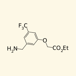 CCOC(=O)COc1cc(CN)cc(C(F)(F)F)c1